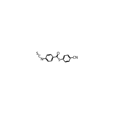 N#Cc1ccc(SC(=O)c2ccc(N=C=S)cc2)cc1